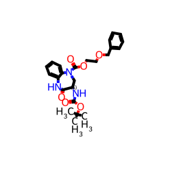 CC(C)(C)OC(=O)N[C@H]1CN(C(=O)OCCOCc2ccccc2)c2ccccc2NC1=O